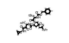 CCCC1=NO[C@]2(C1)C[C@@H](C(=O)N[C@@H](CCC)C(=O)C(=O)NC1CC1)N(C(=O)[C@@H](NC(=O)OCc1ccccc1)C(C)(C)C)C2